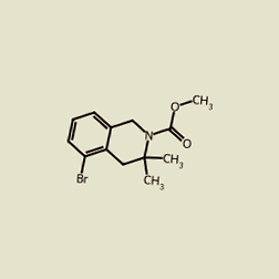 COC(=O)N1Cc2cccc(Br)c2CC1(C)C